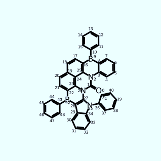 O=C1N2c3ccccc3B(c3ccccc3)c3ccc4ccc5c(c4c32)N1c1c(c2ccccc2n1-c1ccccc1)B5c1ccccc1